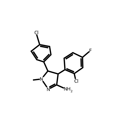 CN1N=C(N)C(c2ccc(F)cc2Cl)C1c1ccc(Cl)cc1